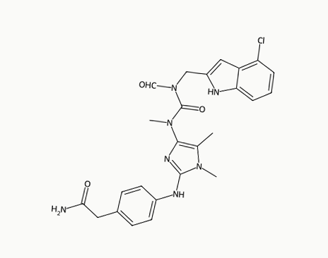 Cc1c(N(C)C(=O)N(C=O)Cc2cc3c(Cl)cccc3[nH]2)nc(Nc2ccc(CC(N)=O)cc2)n1C